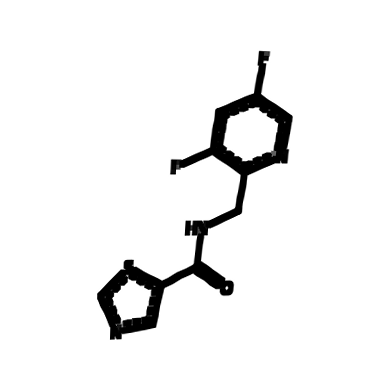 O=C(NCc1ncc(F)cc1F)c1cncs1